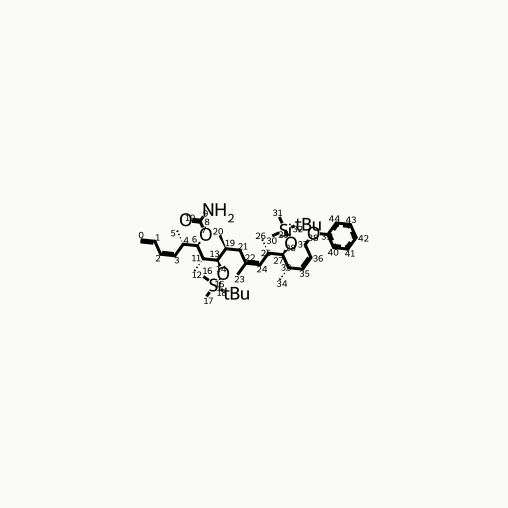 C=C/C=C\[C@H](C)[C@H](OC(N)=O)[C@@H](C)[C@H](O[Si](C)(C)C(C)(C)C)[C@@H](C)C/C(C)=C\[C@H](C)[C@@H](O[Si](C)(C)C(C)(C)C)[C@@H](C)/C=C\COc1ccccc1